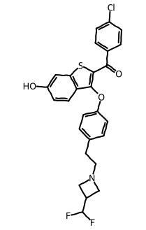 O=C(c1ccc(Cl)cc1)c1sc2cc(O)ccc2c1Oc1ccc(CCN2CC(C(F)F)C2)cc1